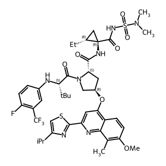 CC[C@@H]1C[C@]1(NC(=O)[C@@H]1C[C@@H](Oc2cc(-c3nc(C(C)C)cs3)nc3c(C)c(OC)ccc23)CN1C(=O)[C@@H](Nc1ccc(F)c(C(F)(F)F)c1)C(C)(C)C)C(=O)NS(=O)(=O)N(C)C